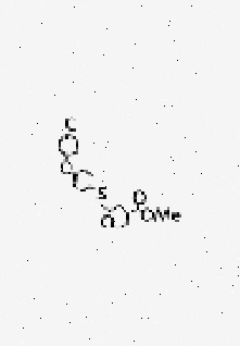 COC(=O)C1CCOC(CSc2ccc(Oc3ccc(Cl)cc3)cc2)C1